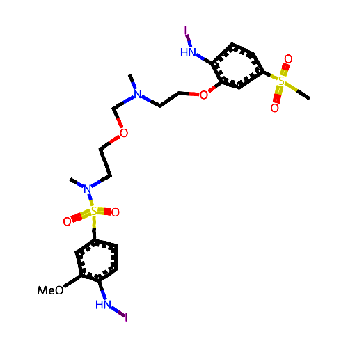 COc1cc(S(=O)(=O)N(C)CCOCN(C)CCOc2cc(S(C)(=O)=O)ccc2NI)ccc1NI